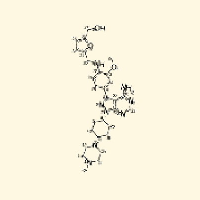 COc1cc(-c2nn([C@H]3CC[C@@H](N4CCN(C)CC4)CC3)c3ncnc(N)c23)ccc1NCc1ccc(CO)o1